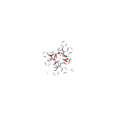 CC1=C(C)[C]([Ti+3])([Si](c2c(-c3ccccc3)cc(-c3ccccc3)c(-c3ccccc3)c2-c2ccccc2)(c2c(-c3ccccc3)cc(-c3ccccc3)c(-c3ccccc3)c2-c2ccccc2)c2c(-c3ccccc3)cc(-c3ccccc3)c(-c3ccccc3)c2-c2ccccc2)C(C)=C1C.[Cl-].[Cl-].[Cl-]